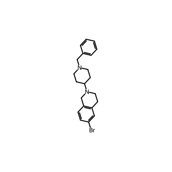 Brc1ccc2c(c1)CCN(C1CCN(Cc3ccccc3)CC1)C2